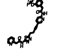 O=C(Cc1cccc(OC(F)(F)F)c1)Nc1ccc(C#CCCc2nnc(NC(=O)Cc3ccccn3)s2)cn1